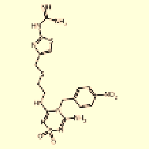 N=C(N)Nc1nc(CSCCNC2=NS(=O)(=O)N=C(N)N2Cc2ccc([N+](=O)[O-])cc2)cs1